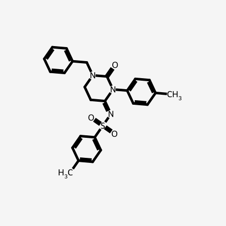 Cc1ccc(N2C(=O)N(Cc3ccccc3)CCC2=NS(=O)(=O)c2ccc(C)cc2)cc1